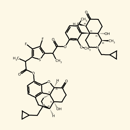 COc1c(OC(=O)C(C)c2sc(C(C)C(=O)Oc3ccc4c5c3O[C@H]3C(=O)CC[C@@]6(O)[C@@H](C4)N(CC4CC4)CC[C@]536)c(F)c2F)ccc(C)c1[C@]12CCN(CC3CC3)[C@H](C)[C@]1(O)CCC(=O)[C@@H]2C